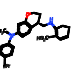 CCCc1ccc(N(C)c2ccc3c(c2)OCC[C@H]3CNC2=C(C(=O)O)C=CCC2)cc1